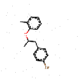 Cc1ccccc1OC(C)Cc1ccc(Br)cc1